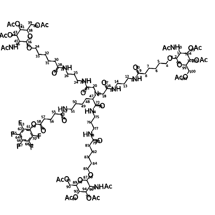 CC(=O)NC1C(OCCCCCC(=O)NCCCNC(=O)CN(CC(=O)NCCCNC(=O)CCCCCO[C@@H]2OC(COC(C)=O)C(OC(C)=O)C(OC(C)=O)C2NC(C)=O)C(CCCCNC(=O)CCCC(=O)Oc2c(F)c(F)c(F)c(F)c2F)C(=O)NCCCNC(=O)CCCCCOC2OC(COC(C)=O)C(OC(C)=O)C(OC(C)=O)C2NC(C)=O)OC(COC(C)=O)C(OC(C)=O)C1OC(C)=O